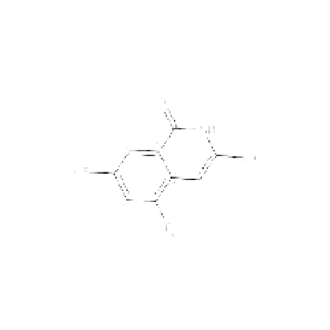 O=c1[nH]c(I)cc2c(F)cc(F)cc12